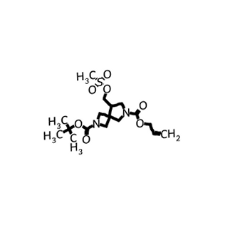 C=CCOC(=O)N1CC(COS(C)(=O)=O)C2(C1)CN(C(=O)OC(C)(C)C)C2